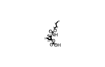 CCCCOC(=O)Nc1sccc1OC(=O)O